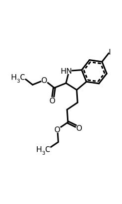 CCOC(=O)CCC1c2ccc(I)cc2NC1C(=O)OCC